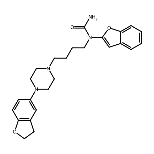 NC(=O)N(CCCCN1CCN(c2ccc3c(c2)CCO3)CC1)c1cc2ccccc2o1